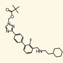 CC(C)(C)C(=O)OCn1cnc(-c2ccc(-c3cccc(CNCCC4CCCCC4)c3F)cc2)n1